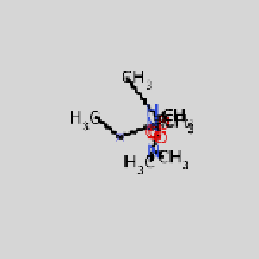 CCCCCCCC/C=C\CCCCCCCC(=O)N[C@@H](COC(=O)CCCN(CCC)CCC)[C@@H]1OC(C)(C)C[C@@H]1CCCCCCCCCCCCCC